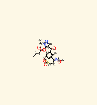 CCCC(=O)Oc1c(C(=O)c2ccc3c(c2C)/C(=N/OC)CCS3(=O)=O)cnn1CC